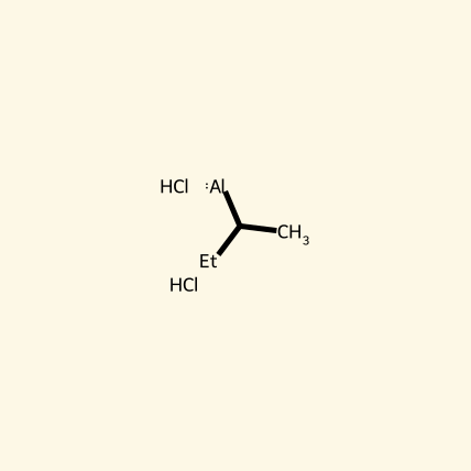 CC[CH](C)[Al].Cl.Cl